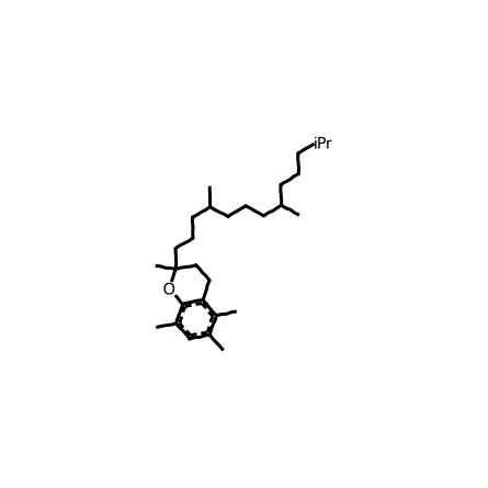 Cc1cc(C)c2c(c1C)CCC(C)(CCCC(C)CCCC(C)CCCC(C)C)O2